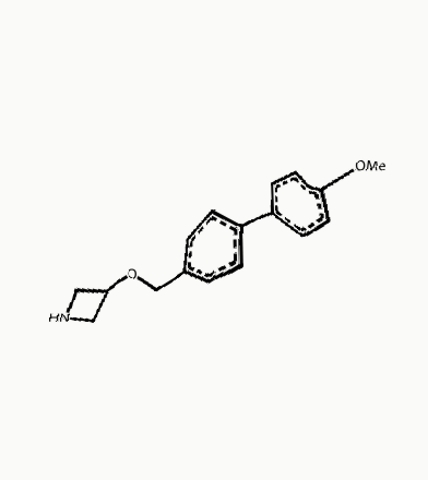 COc1ccc(-c2ccc(COC3CNC3)cc2)cc1